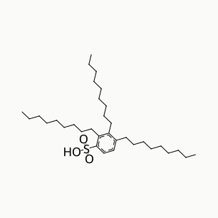 CCCCCCCCCc1ccc(S(=O)(=O)O)c(CCCCCCCCC)c1CCCCCCCCC